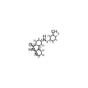 Cc1cccc(CNc2ccc3c(=O)[nH]c4ncccc4c3c2)c1